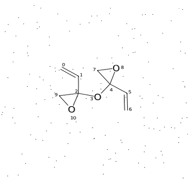 C=CC1(OC2(C=C)CO2)CO1